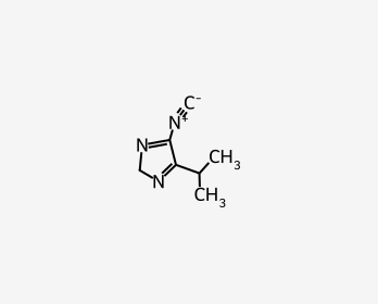 [C-]#[N+]C1=NCN=C1C(C)C